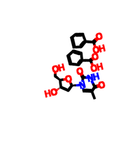 Cc1cn([C@H]2C[C@H](O)[C@@H](CO)O2)c(=O)[nH]c1=O.O=C(O)c1ccccc1.O=C(O)c1ccccc1